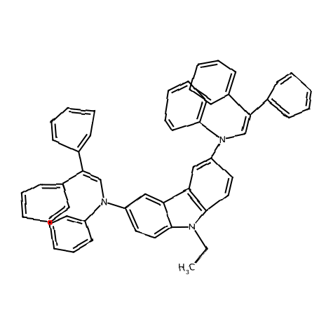 CCn1c2ccc(N(C=C(c3ccccc3)c3ccccc3)c3ccccc3)cc2c2cc(N(C=C(c3ccccc3)c3ccccc3)c3ccccc3)ccc21